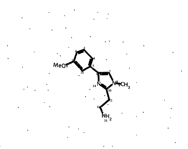 COc1cccc(-c2cn(C)c(CCN)n2)c1